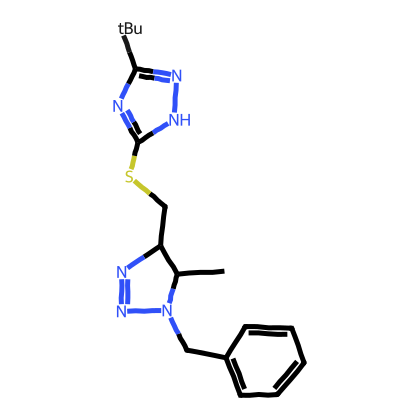 CC1C(CSc2nc(C(C)(C)C)n[nH]2)N=NN1Cc1ccccc1